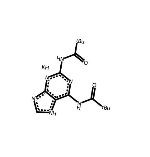 CC(C)(C)C(=O)Nc1nc(NC(=O)C(C)(C)C)c2[nH]cnc2n1.[KH]